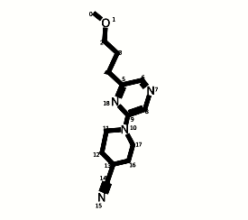 COCCCc1cncc(N2CCC(C#N)CC2)n1